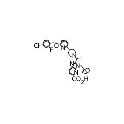 CC(c1nc2ccc(C(=O)O)nc2n1C[C@@H]1CCO1)N1CCC(c2cccc(OCc3ccc(Cl)cc3F)n2)CC1